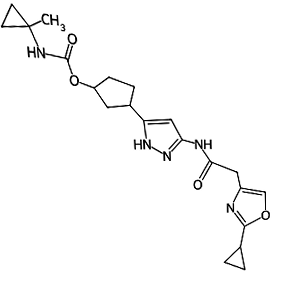 CC1(NC(=O)OC2CCC(c3cc(NC(=O)Cc4coc(C5CC5)n4)n[nH]3)C2)CC1